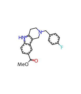 COC(=O)c1ccc2[nH]c3c(c2c1)CN(Cc1ccc(F)cc1)CC3